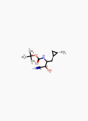 C[C@H]1C[C@@H]1CC(NC(=O)OC(C)(C)C)C(O)C#N